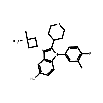 Cc1cc(-n2c(C3CCOCC3)c([C@H]3C[C@@](C)(C(=O)O)C3)c3cc(O)ccc32)ccc1F